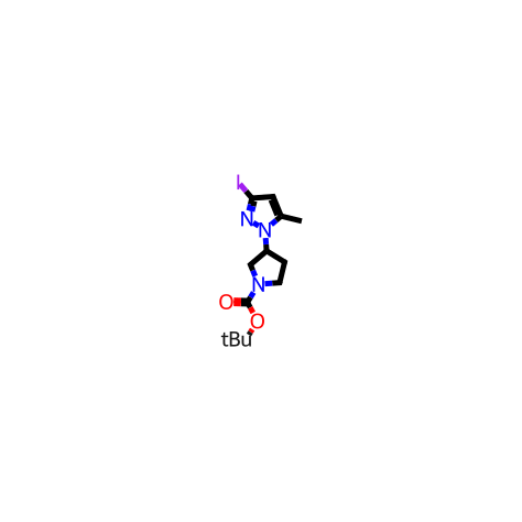 Cc1cc(I)nn1C1CCN(C(=O)OC(C)(C)C)C1